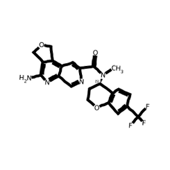 CN(C(=O)c1cc2c3c(c(N)nc2cn1)COC3)[C@H]1CCOc2cc(C(F)(F)F)ccc21